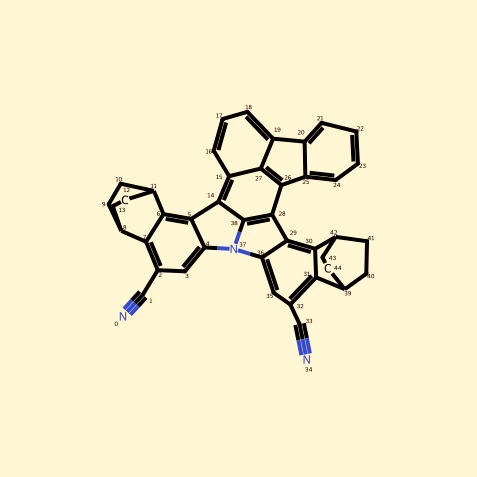 N#Cc1cc2c(c3c1C1CCC3CC1)c1c3cccc4c5ccccc5c(c43)c3c4c5c(c(C#N)cc4n2c13)C1CCC5CC1